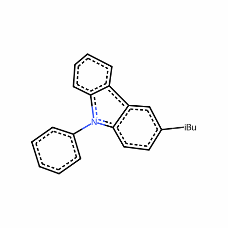 CCC(C)c1ccc2c(c1)c1ccccc1n2-c1ccccc1